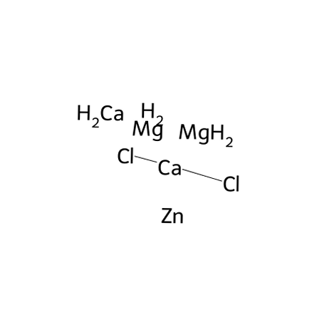 [CaH2].[Cl][Ca][Cl].[MgH2].[MgH2].[Zn]